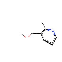 Cc1ncccc1CON=O